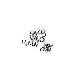 C=CC(=O)N(C)[C@@H](C)C(=O)NCCc1cc(Nc2nc(NC3CCOCC3)c(CC)nc2C(N)=O)cc(OC)c1